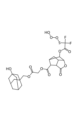 O=C(COC(=O)C1C2CC3C(OC(=O)C31)C2OC(=O)C(F)(F)SOOO)OCC12CC3CC(CC(O)(C3)C1)C2